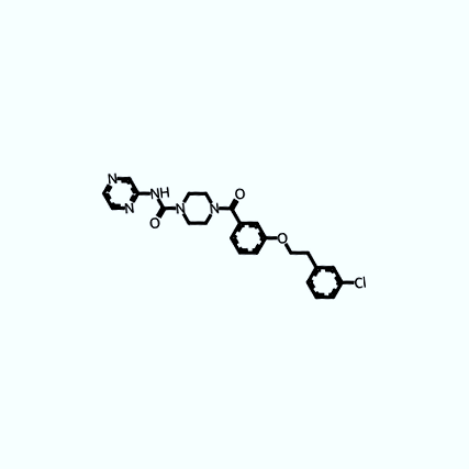 O=C(Nc1cnccn1)N1CCN(C(=O)c2cccc(OCCc3cccc(Cl)c3)c2)CC1